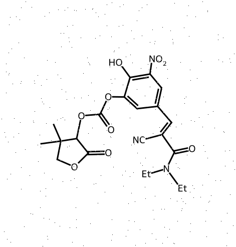 CCN(CC)C(=O)/C(C#N)=C/c1cc(OC(=O)OC2C(=O)OCC2(C)C)c(O)c([N+](=O)[O-])c1